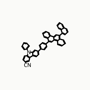 N#Cc1ccc2c(c1)c1ccc(-c3ccc(-c4cc5c6ccccc6c(-c6cccc7ccccc67)cc5c5ccccc45)cc3)cc1n2-c1ccccc1